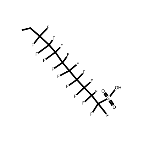 CCC(F)(F)C(F)(F)C(F)(F)C(F)(F)C(F)(F)C(F)(F)C(F)(F)C(F)(F)C(F)(F)S(=O)(=O)O